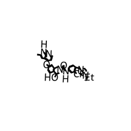 CCN1CCN(Cc2ccc(NC(=O)N3Cc4cc(Oc5ccnc6[nH]c(C)cc56)ccc4C(O)C3)cc2C(F)(F)F)CC1